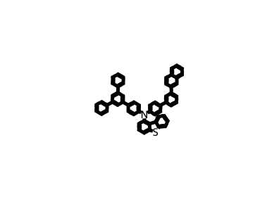 c1ccc(-c2cc(-c3ccccc3)cc(-c3ccc(N(c4ccc(-c5cccc(-c6ccc7ccccc7c6)c5)cc4)c4cccc5sc6ccccc6c45)cc3)c2)cc1